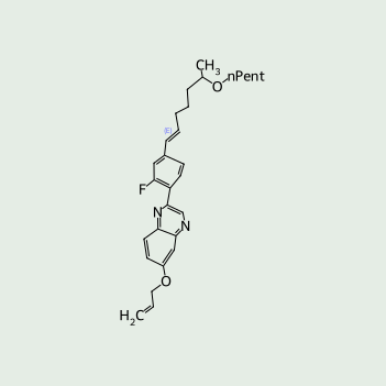 C=CCOc1ccc2nc(-c3ccc(/C=C/CCCC(C)OCCCCC)cc3F)cnc2c1